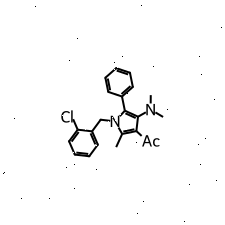 CC(=O)c1c(N(C)C)c(-c2ccccc2)n(Cc2ccccc2Cl)c1C